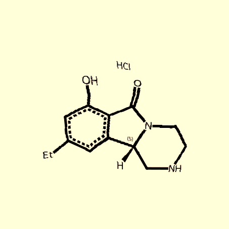 CCc1cc(O)c2c(c1)[C@H]1CNCCN1C2=O.Cl